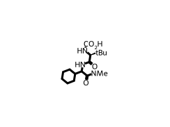 CNC(=O)C(NC(=O)[C@@H](NC(=O)O)C(C)(C)C)C1CCCCC1